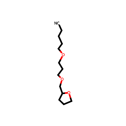 N#CCCCCOCCCOCC1CCCO1